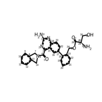 Nc1nc(C(=O)N2Cc3ccccc3C2)c2cc(-c3ccccc3COC(=O)[C@H](N)CO)ccc2n1